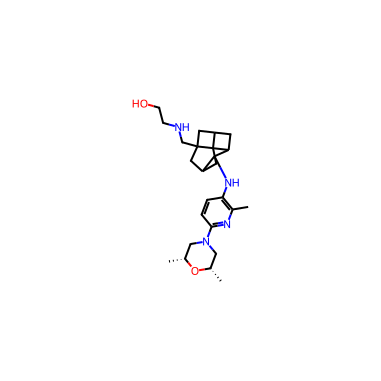 Cc1nc(N2C[C@@H](C)O[C@@H](C)C2)ccc1NC1C2CC3(CNCCO)CC4CC1C43C2